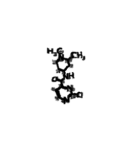 C[C@H]1CC(NC(=O)c2ccnc(Cl)n2)CCN1C